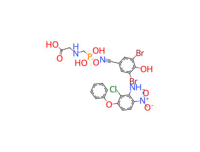 N#Cc1cc(Br)c(O)c(Br)c1.Nc1c([N+](=O)[O-])ccc(Oc2ccccc2)c1Cl.O=C(O)CNCP(=O)(O)O